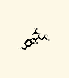 C=Cc1ccc2nc(C(CC(C)C)NC(=O)O)[nH]c2c1